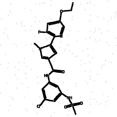 CCOc1cnc(-c2cc(C(=O)Nc3cc(Cl)cc(NS(C)(=O)=O)c3)cn2C)c(F)c1